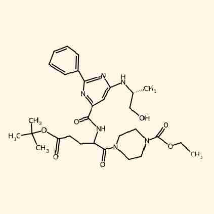 CCOC(=O)N1CCN(C(=O)C(CCC(=O)OC(C)(C)C)NC(=O)c2cc(N[C@H](C)CO)nc(-c3ccccc3)n2)CC1